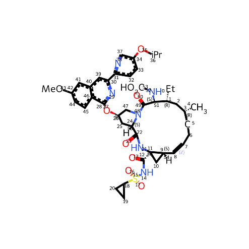 CC[C@@H]1C[C@H](C)CC/C=C\[C@@H]2C[C@@]2(C(=O)NS(=O)(=O)C2CC2)NC(=O)[C@@H]2C[C@@H](Oc3nc(-c4ccc(OC(C)C)cn4)cc4cc(OC)ccc34)CN2C(=O)[C@H]1NC(=O)O